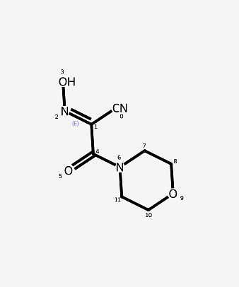 N#C/C(=N\O)C(=O)N1CCOCC1